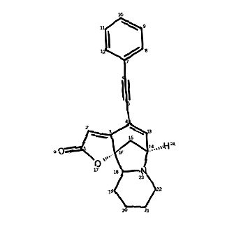 O=C1C=C2C(C#Cc3ccccc3)=C[C@@H]3C[C@@]2(O1)C1CCCCN13